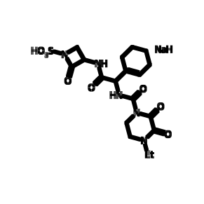 CCN1CCN(C(=O)NC(C(=O)NC2CN(S(=O)(=O)O)C2=O)C2=CCCCC2)C(=O)C1=O.[NaH]